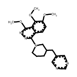 COc1ccc2c(N3CCCC(Cc4cncnc4)C3)nnc(OC)c2c1OC